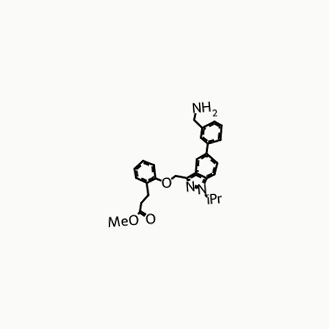 COC(=O)CCc1ccccc1OCc1nn(C(C)C)c2ccc(-c3cccc(CN)c3)cc12